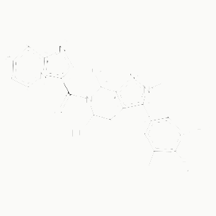 CCC1Cc2c(nn(C)c2-c2cc(F)c(F)c(F)c2)C(CC)N1C(=O)c1cnc2ccccn12